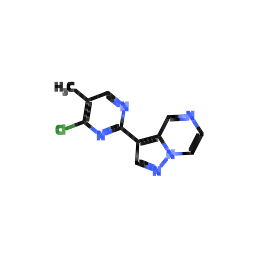 Cc1cnc(-c2cnn3ccncc23)nc1Cl